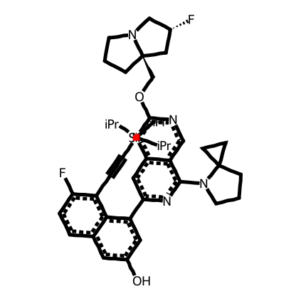 CC(C)[Si](C#Cc1c(F)ccc2cc(O)cc(-c3cc4nc(OC[C@@]56CCCN5C[C@H](F)C6)ncc4c(N4CCCC45CC5)n3)c12)(C(C)C)C(C)C